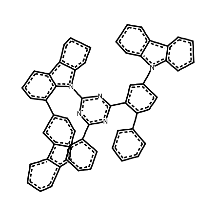 c1ccc(-c2nc(-c3cc(-n4c5ccccc5c5ccccc54)ccc3-c3ccccc3)nc(-n3c4ccccc4c4cccc(-c5ccc6oc7ccccc7c6c5)c43)n2)cc1